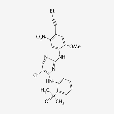 CCC#Cc1cc(OC)c(Nc2ncc(Cl)c(Nc3ccccc3P(C)(C)=O)n2)cc1[N+](=O)[O-]